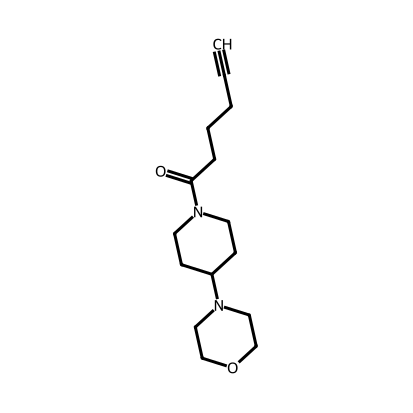 C#CCCCC(=O)N1CCC(N2CCOCC2)CC1